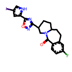 O=C1c2ccc(F)cc2CCC2CCC(c3noc(-c4cc(I)c[nH]4)n3)CN12